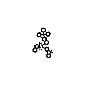 CC1(C)c2ccccc2-c2cc(-c3nc4c(ccc5ccccc54)nc3-c3cccc4cc5c(cc34)-c3ccccc3C5(c3ccccc3)c3ccccc3)ccc21